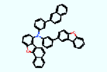 c1cc(-c2ccc3ccccc3c2)cc(N(c2cccc(-c3ccc4oc5ccccc5c4c3)c2)c2cccc3oc4c5ccccc5ccc4c23)c1